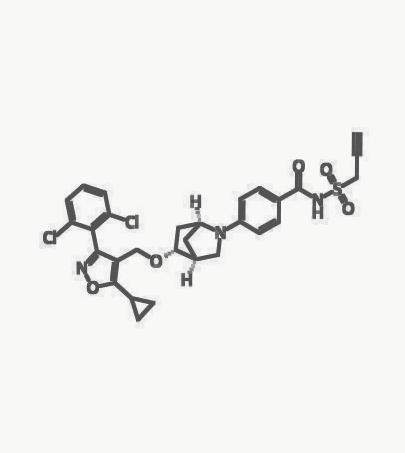 C#CCS(=O)(=O)NC(=O)c1ccc(N2C[C@@H]3C[C@H]2C[C@H]3OCc2c(-c3c(Cl)cccc3Cl)noc2C2CC2)cc1